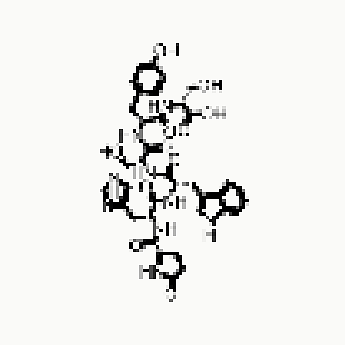 O=C1CC[C@@H](C(=O)N[C@@H](Cc2c[nH]cn2)C(=O)N[C@@H](Cc2c[nH]c3ccccc23)C(=O)N[C@@H](CO)C(=O)N[C@@H](Cc2ccc(O)cc2)C(=O)N[C@H](CO)C(=O)O)N1